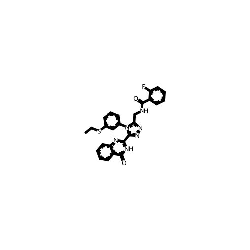 CCSc1cccc(-n2c(CNC(=O)c3ccccc3F)nnc2-c2nc3ccccc3c(=O)[nH]2)c1